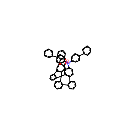 c1ccc(-c2ccc(N(c3ccc(-c4ccccc4)cc3)c3ccc4c(c3)C3(c5ccccc5-c5ccccc5-4)c4ccccc4-c4cc5c(cc43)oc3ccccc35)cc2)cc1